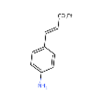 CCOC(=O)/C=C/c1ccc(N)cc1